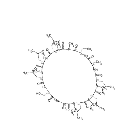 CC[C@@H]1NC(=O)[C@H](C)NC(=O)[C@H](CC(C)C)N(C)C(=O)[C@H](CC(C)C)N(C)C(=O)[C@H](CC(C)C)N(C)C(=O)[C@@H](C)NC(=O)[C@H](CO)NC(=O)[C@H](CC(C)C)N(C)C(=O)[C@H](CC(C)C)NC(=O)[C@H](CC(C)C)N(C)C(=O)N(C)C1=O